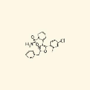 Cc1cc(Cl)ccc1-c1oc(Cc2ccccc2)nc1-c1ccccc1S(N)(=O)=O